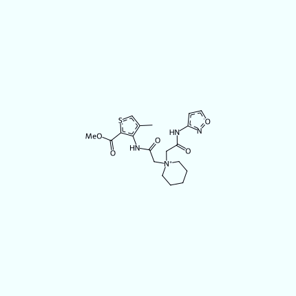 COC(=O)c1scc(C)c1NC(=O)C[N+]1(CC(=O)Nc2ccon2)CCCCC1